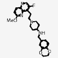 COc1ccc2ncc(F)c(CCN3CCC(NCc4ccc5c(c4)OCCO5)CC3)c2n1